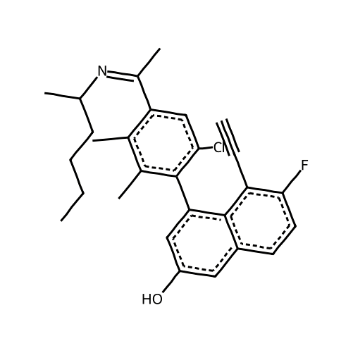 C#Cc1c(F)ccc2cc(O)cc(-c3c(Cl)cc(/C(C)=N\C(C)CCCC)c(C)c3C)c12